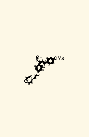 COc1ccc(-c2cc(=NO)c3ccc(OCCN4CCOCC4)cc3o2)cc1